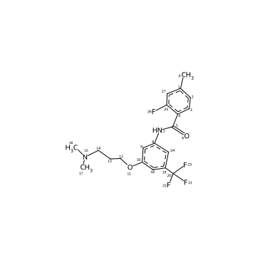 Cc1ccc(C(=O)Nc2cc(OCCCN(C)C)cc(C(F)(F)F)c2)c(F)c1